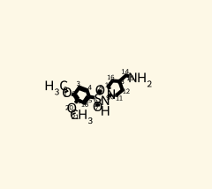 COc1ccc(S(=O)(=O)NN2CCC(CN)CC2)cc1OC